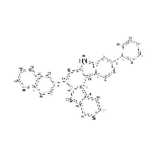 c1ccc(-c2ccc3c(c2)[nH]c2cc(-c4ccc5ccccc5c4)c4sc5ccccc5c4c23)cc1